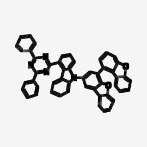 c1ccc(-c2nc(-c3ccccc3)nc(-c3cccc4c3c3ccccc3n4-c3cc(-c4cccc5oc6ccccc6c45)c4oc5ccccc5c4c3)n2)cc1